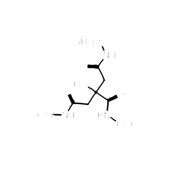 CCCCCCCNC(=O)CC(O)(CC(=O)NCCCC)C(=O)NCCCC